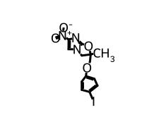 CC1(COc2ccc(I)cc2)Cn2cc([N+](=O)[O-])nc2O1